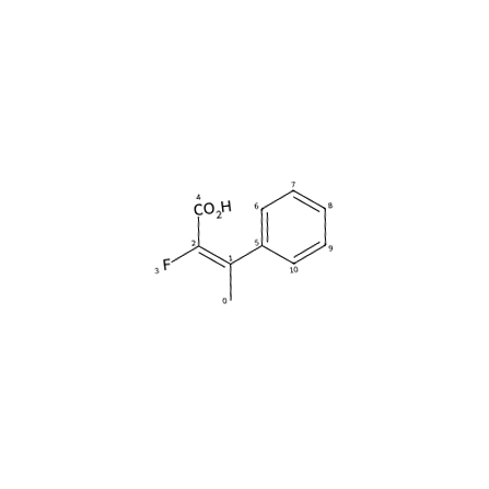 C/C(=C(\F)C(=O)O)c1ccccc1